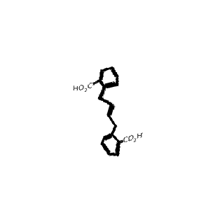 O=C(O)c1ccccc1C/C=C/Cc1ccccc1C(=O)O